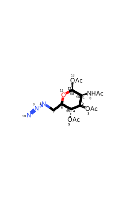 CC(=O)N[C@H]1C(OC(C)=O)[C@H](OC(C)=O)C(CN=[N+]=[N-])O[C@H]1OC(C)=O